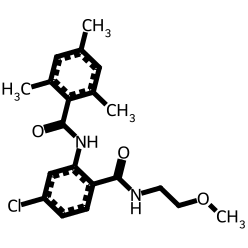 COCCNC(=O)c1ccc(Cl)cc1NC(=O)c1c(C)cc(C)cc1C